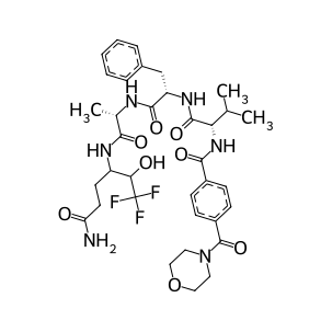 CC(C)[C@H](NC(=O)c1ccc(C(=O)N2CCOCC2)cc1)C(=O)N[C@@H](Cc1ccccc1)C(=O)N[C@@H](C)C(=O)NC(CCC(N)=O)C(O)C(F)(F)F